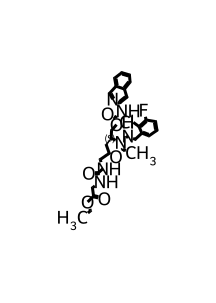 CCOC(=O)CNC(=O)NCCC[C@@H](COC(=O)Nc1cc2ccccc2cn1)N(NCc1cccc(F)c1Cl)C(C)=O